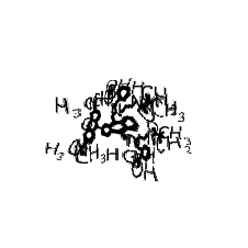 C=C(C)C(=O)NCCCN(Cc1ccccc1B(O)O)Cc1c2ccccc2c(CN(CCCNC(=O)C(=C)C)Cc2ccccc2B(O)O)c2cc(-c3c4ccc(=[N+](C)C)cc-4oc4cc(N(C)C)ccc34)ccc12